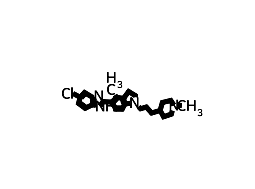 Cc1c(-c2nc3cc(Cl)ccc3[nH]2)ccc2c1CCN2CCCC1CCN(C)CC1